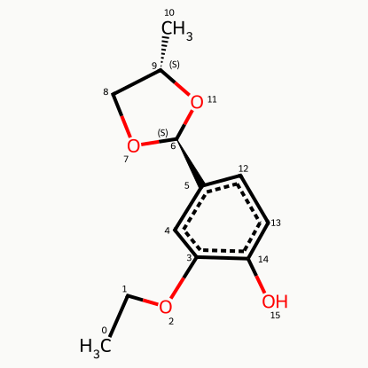 CCOc1cc([C@H]2OC[C@H](C)O2)ccc1O